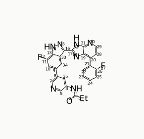 CCC(=O)Nc1cncc(-c2cc(F)c3[nH]nc(-c4nc5c(-c6ccccc6F)ccnc5[nH]4)c3c2)c1